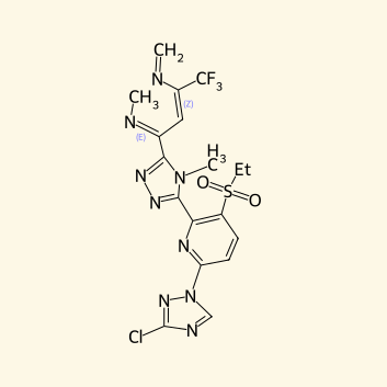 C=N/C(=C\C(=N/C)c1nnc(-c2nc(-n3cnc(Cl)n3)ccc2S(=O)(=O)CC)n1C)C(F)(F)F